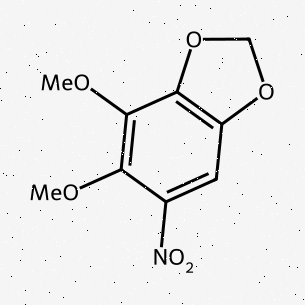 COc1c([N+](=O)[O-])cc2c(c1OC)OCO2